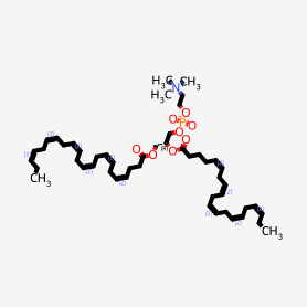 CC/C=C\C/C=C\C/C=C\C/C=C\C/C=C\C/C=C\CCC(=O)OC[C@H](COP(=O)([O-])OCC[N+](C)(C)C)OC(=O)CCC/C=C\C/C=C\C/C=C\C/C=C\C/C=C\CC